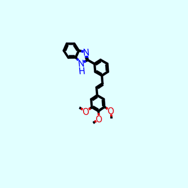 COc1cc(C=Cc2cccc(-c3nc4ccccc4[nH]3)c2)cc(OC)c1OC